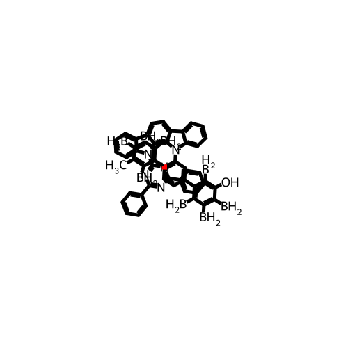 Bc1c(B)c(O)c(B)c(-c2ccc(-c3c(B)c(B)c(B)c(C)c3B)c(-n3c4ccccc4c4ccc5c6ccccc6n(-c6nc(-c7ccccc7)nc(-c7ccccc7)n6)c5c43)c2)c1B